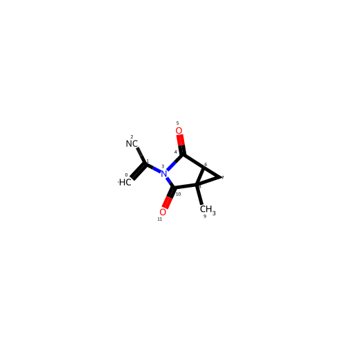 [CH]=C(C#N)N1C(=O)C2CC2(C)C1=O